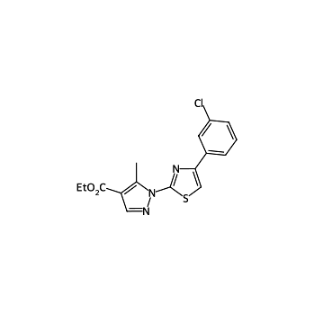 CCOC(=O)c1cnn(-c2nc(-c3cccc(Cl)c3)cs2)c1C